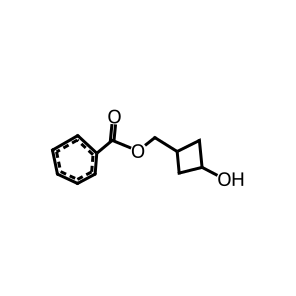 O=C(OCC1CC(O)C1)c1ccccc1